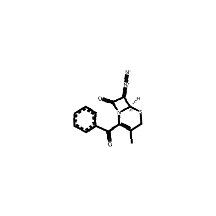 CC1=C(C(=O)c2ccccc2)N2C(=O)C(=[N+]=[N-])[C@H]2SC1